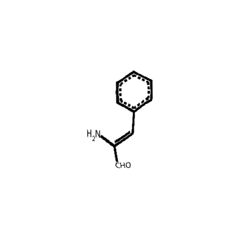 NC(C=O)=Cc1ccccc1